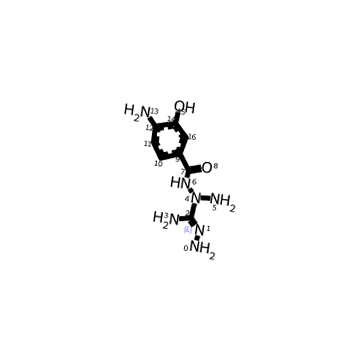 N/N=C(\N)N(N)NC(=O)c1ccc(N)c(O)c1